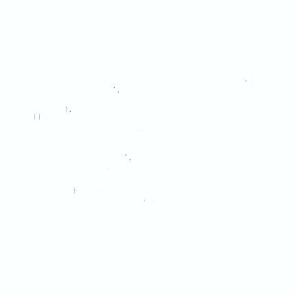 CN/C=C(\N)C1CC(c2sc(Cl)cc2CCO)CC(C)N1C(=O)C(F)(F)F